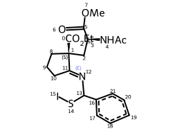 CCOC(=O)[C@]1(C[C@H](NC(C)=O)C(=O)OC)CCC/C1=N\C(SI)c1ccccc1